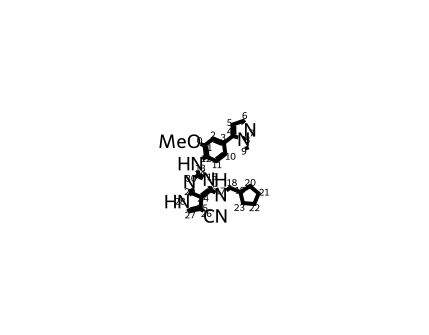 COc1cc(-c2ccnn2C)ccc1Nc1nc(NCC2CCCC2)c2c(C#N)c[nH]c2n1